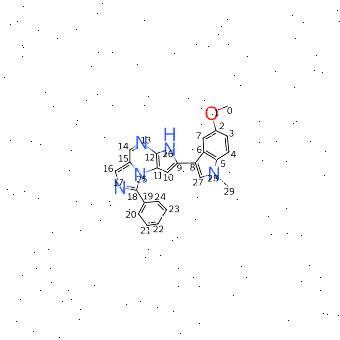 COc1ccc2c(c1)c(-c1cc3c(ncc4cnc(-c5ccccc5)n43)[nH]1)cn2C